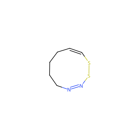 C1=C\SS/N=N\CCCC/1